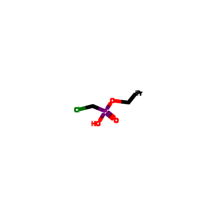 CC(C)COP(=O)(O)CCl